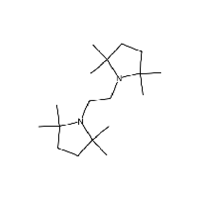 CC1(C)CCC(C)(C)N1CCN1C(C)(C)CCC1(C)C